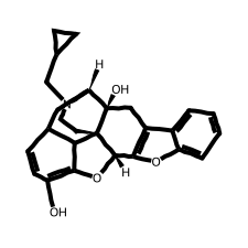 OC1=C2O[C@H]3c4oc5ccccc5c4C[C@@]4(O)[C@H]5CC(C=C1)C2[C@@]34CCN5CC1CC1